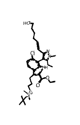 CCOC(=O)c1[nH]c2c(-c3c(/C=C/CCCCO)nn(C)c3CC)c(Cl)ccc2c1CCCO[Si](C)(C)C(C)(C)C